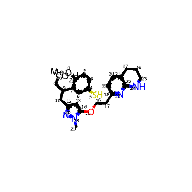 COc1ccc(S)cc1C(CC(=O)O)Cc1cc(OCCc2ccc3c(n2)NCCC3)n(C)n1